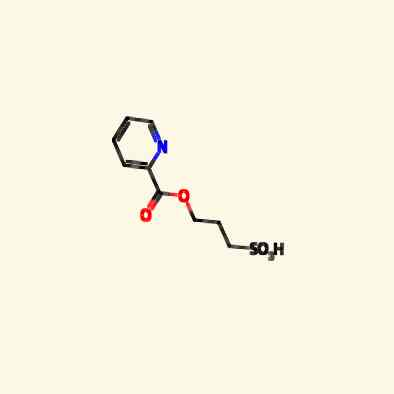 O=C(OCCCS(=O)(=O)O)c1ccccn1